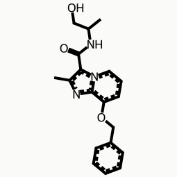 Cc1nc2c(OCc3ccccc3)cccn2c1C(=O)NC(C)CO